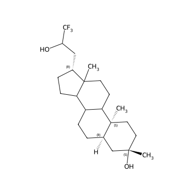 CC12CCC3C(CC[C@@H]4C[C@@](C)(O)CC[C@]34C)C1CC[C@@H]2CC(O)C(F)(F)F